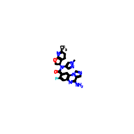 Cn1cc(N(C(=O)c2cc3c(cc2F)nc(N)c2cncn23)[C@@H]2COc3nc(C(F)(F)F)ccc32)cn1